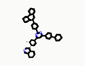 C[C@@H]1CC(c2cc(-c3ccc(-c4ccccc4)cc3)nc(-c3ccc(-c4cc5ccccc5c5ccccc45)cc3)n2)C=C[C@@H]1c1cncc2c1C=CCC2